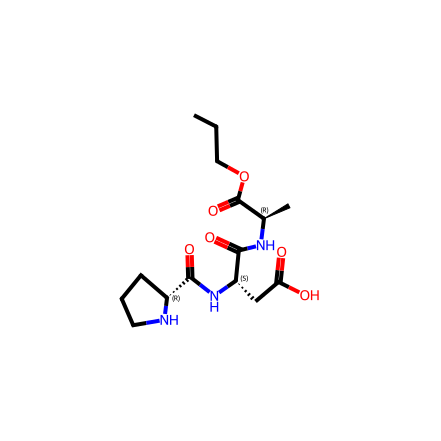 CCCOC(=O)[C@@H](C)NC(=O)[C@H](CC(=O)O)NC(=O)[C@H]1CCCN1